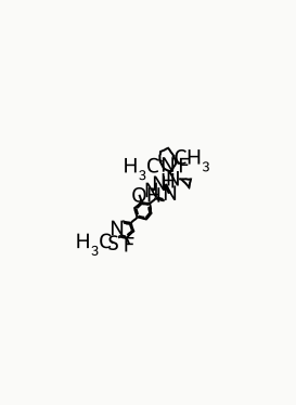 CSc1ncc(-c2ccc(-c3cnc(N(C4CC4)[C@H]4C[C@]5(C)CC[C@@](C)(N5)[C@H]4F)nn3)c(O)c2)cc1F